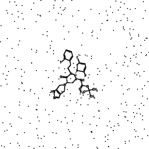 CC(C)(C)OC(=O)NC1CC(N2Cc3cn[nH]c3C2)C(=O)N(CCc2ccccc2F)[C@@H]1C1CC(F)=CC=C1F